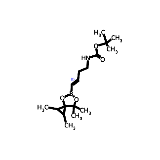 CC1C(C)C12OB(/C=C/CCNC(=O)OC(C)(C)C)OC2(C)C